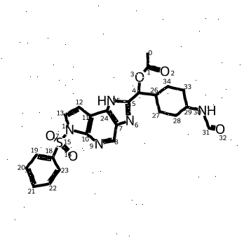 CC(=O)OC(c1nc2cnc3c(ccn3S(=O)(=O)c3ccccc3)c2[nH]1)C1CCC(NC=O)CC1